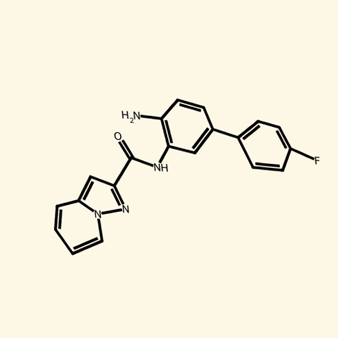 Nc1ccc(-c2ccc(F)cc2)cc1NC(=O)c1cc2ccccn2n1